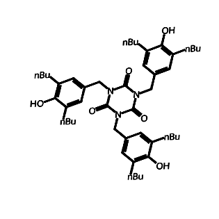 CCCCc1cc(Cn2c(=O)n(Cc3cc(CCCC)c(O)c(CCCC)c3)c(=O)n(Cc3cc(CCCC)c(O)c(CCCC)c3)c2=O)cc(CCCC)c1O